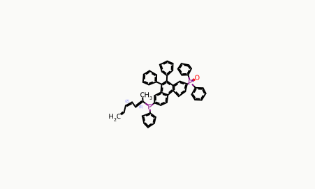 C=C/C=C\C=C(/C)P(c1ccccc1)c1ccc2c(c1)c(-c1ccccc1)c(-c1ccccc1)c1cc(P(=O)(c3ccccc3)c3ccccc3)ccc12